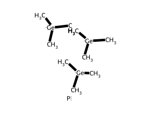 [CH3][Ge]([CH3])[CH3].[CH3][Ge]([CH3])[CH3].[CH3][Ge]([CH3])[CH3].[P]